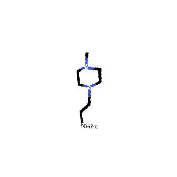 CC(=O)NCCN1CCN(C)CC1